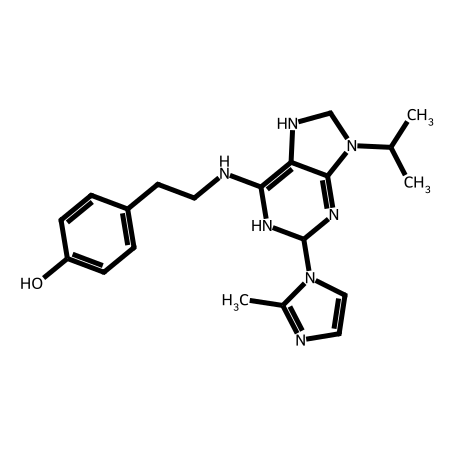 Cc1nccn1C1N=C2C(=C(NCCc3ccc(O)cc3)N1)NCN2C(C)C